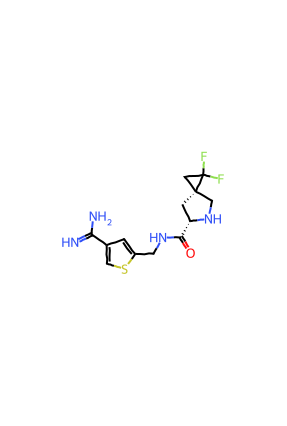 N=C(N)c1csc(CNC(=O)[C@@H]2C[C@]3(CN2)CC3(F)F)c1